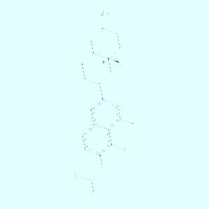 CCCC[C@@H]1CC[C@@H]2CC(c3cc(F)c4c(F)c(OC(F)F)c(F)cc4c3)CCC2C1